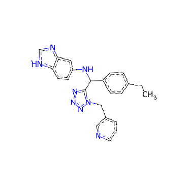 CCc1ccc(C(Nc2ccc3[nH]cnc3c2)c2nnnn2Cc2cccnc2)cc1